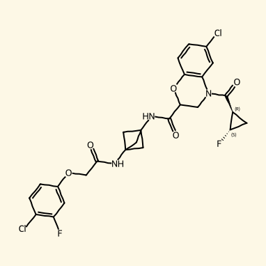 O=C(COc1ccc(Cl)c(F)c1)NC12CC(NC(=O)C3CN(C(=O)[C@H]4C[C@@H]4F)c4cc(Cl)ccc4O3)(C1)C2